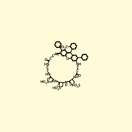 O=C1CC/N=c2\cc3c(cc2-c2ccccc2)=C(c2ccccc2C(=O)O)c2cc(-c4ccccc4)c(cc2O3)NCCC(=O)NC(CS(=O)(=O)O)C(=O)NC(CS(=O)(=O)O)C(=O)NC(CS(=O)(=O)O)C(=O)NCCN1